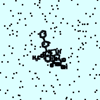 C=S(=O)(c1ccc(OC)cc1)N1[C@H](C(=O)NO)C[C@@H]2CCN(C(=O)c3ccc(-c4ccccc4)cc3)C[C@@H]21